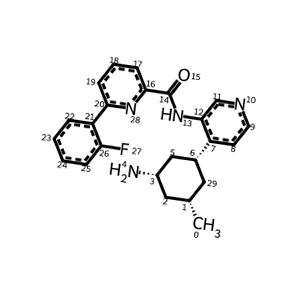 C[C@@H]1C[C@H](N)C[C@H](c2ccncc2NC(=O)c2cccc(-c3ccccc3F)n2)C1